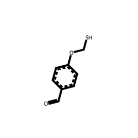 O=Cc1ccc(OCS)cc1